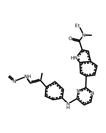 C=NN/C=C(\C)c1ccc(Nc2ccnc(-c3ccc4cc(C(=O)N(C)CC)[nH]c4c3)n2)cc1